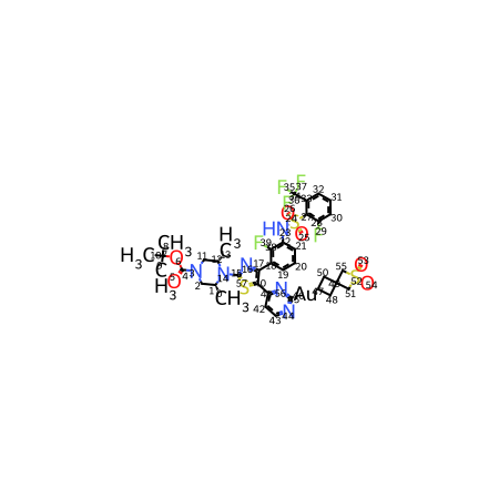 C[C@H]1CN(C(=O)OC(C)(C)C)C[C@H](C)N1c1nc(-c2cccc(NS(=O)(=O)c3c(F)cccc3C(F)(F)F)c2F)c(-c2ccn[c]([Au][CH]3CC4(C3)CS(=O)(=O)C4)n2)s1